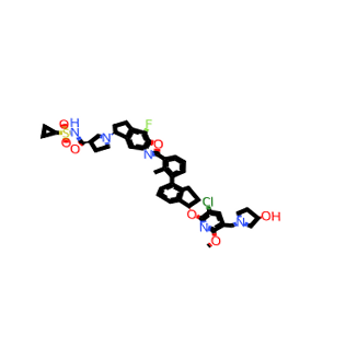 COc1nc(O[C@H]2CCc3c(-c4cccc(-c5nc6cc7c(c(F)c6o5)CC[C@H]7N5CC[C@@H](C(=O)NS(=O)(=O)C6CC6)C5)c4C)cccc32)c(Cl)cc1CN1CC[C@@H](O)C1